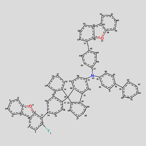 Fc1ccc2c(oc3ccccc32)c1-c1ccc(C2(c3ccccc3)c3ccccc3-c3cc(N(c4ccc(-c5ccccc5)cc4)c4ccc(-c5cccc6c5oc5ccccc56)cc4)ccc32)cc1